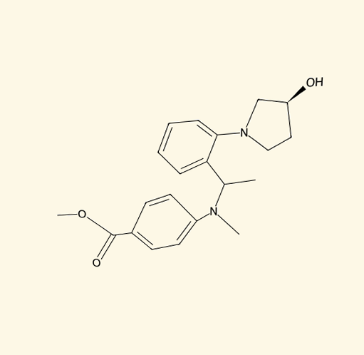 COC(=O)c1ccc(N(C)C(C)c2ccccc2N2CC[C@H](O)C2)cc1